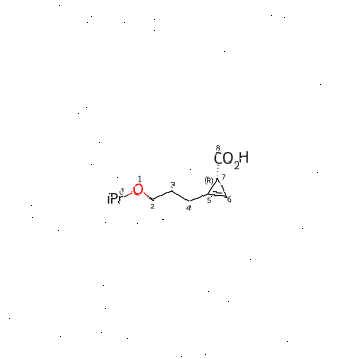 CC(C)OCCCC1=C[C@H]1C(=O)O